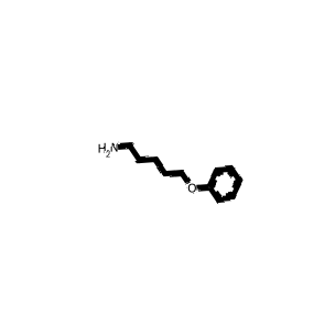 NCCCCCOc1c[c]ccc1